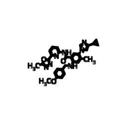 COc1ccc(CNc2cc(C)c(-n3cnc(C4CC4)c3)cc2C(=O)Nc2cccc(-c3nnc(C)o3)n2)cc1